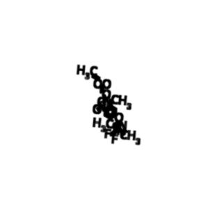 CCCOC(=O)CON=C(C)c1cc(Oc2nn(C)c(C(F)F)c2C)ccc1[N+](=O)[O-]